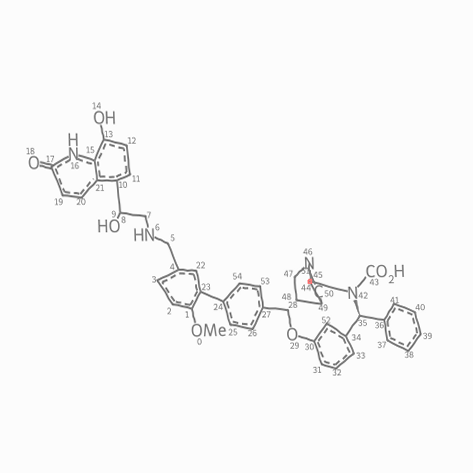 COc1ccc(CNCC(O)c2ccc(O)c3[nH]c(=O)ccc23)cc1-c1ccc(COc2cccc([C@H](c3ccccc3)N(C(=O)O)C3CN4CCC3CC4)c2)cc1